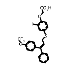 O=C(O)COc1ccc(SCC=C(c2ccccc2)c2ccc(OC(F)(F)F)cc2)cc1I